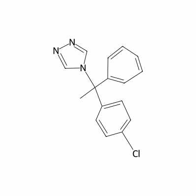 CC(c1ccccc1)(c1ccc(Cl)cc1)n1cnnc1